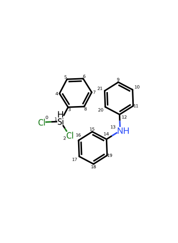 Cl[SiH](Cl)c1ccccc1.c1ccc(Nc2ccccc2)cc1